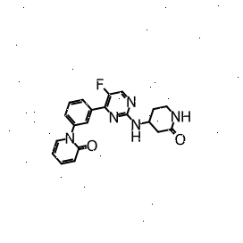 O=C1CC(Nc2ncc(F)c(-c3cccc(-n4ccccc4=O)c3)n2)CCN1